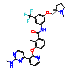 CNc1nccc(-c2cccnc2Oc2cccc(C(=O)Nc3cc(OC[C@@H]4CCCN4C)cc(C(F)(F)F)c3)c2C)n1